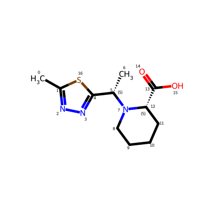 Cc1nnc([C@H](C)N2CCCC[C@H]2C(=O)O)s1